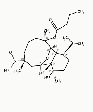 CCCC(=O)O[C@]1(C)CCC[C@@](C)([S+](C)[O-])C[C@H]2O[C@@H]1[C@H]1[C@@H]2[C@](C)(O)CC[C@@H]1C(C)C